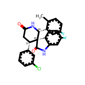 Cc1ccc(F)cc1[C@H]1NC(=O)C[C@@H](c2cccc(Cl)c2)[C@]12C(=O)Nc1cc(F)ccc12